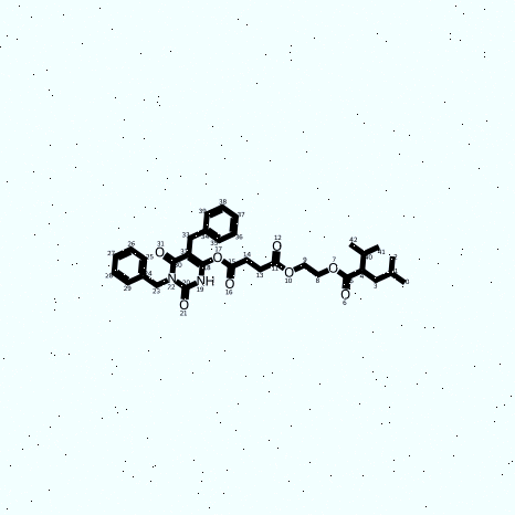 CC(C)CC(C(=O)OCCOC(=O)CCC(=O)Oc1[nH]c(=O)n(Cc2ccccc2)c(=O)c1Cc1ccccc1)C(C)C